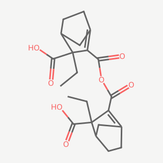 CCC1(C(=O)O)C(C(=O)OC(=O)C2=C3CCC(C3)C2(CC)C(=O)O)=C2CCC1C2